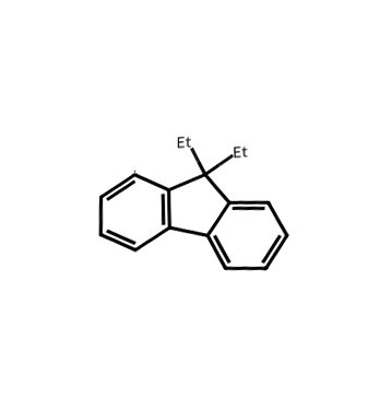 CCC1(CC)c2[c]cccc2-c2ccccc21